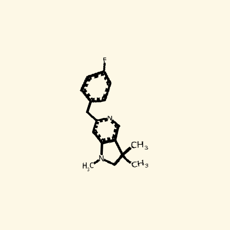 CN1CC(C)(C)c2cnc(Cc3ccc(F)cc3)cc21